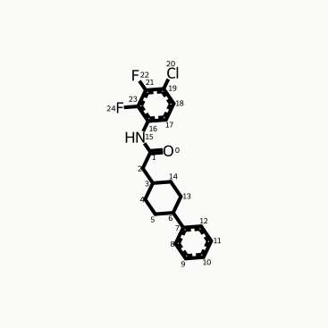 O=C(CC1CCC(c2ccccc2)CC1)Nc1ccc(Cl)c(F)c1F